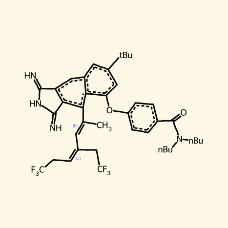 CCCCN(CCCC)C(=O)c1ccc(Oc2cc(C(C)(C)C)cc3cc4c(c(/C(C)=C/C(=C\CC(F)(F)F)CC(F)(F)F)c23)C(=N)NC4=N)cc1